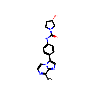 CNc1nccn2c(-c3ccc(NC(=O)N4CC[C@H](O)C4)cc3)cnc12